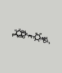 CNc1ccc(C#Cc2nc3ccc(F)nc3o2)cc1